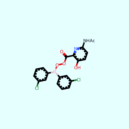 CC(=O)Nc1ccc(O)c(C(=O)OOB(c2cccc(Cl)c2)c2cccc(Cl)c2)n1